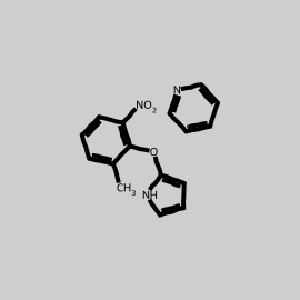 Cc1cccc([N+](=O)[O-])c1Oc1ccc[nH]1.c1ccncc1